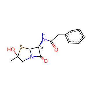 CC1(O)CN2C(=O)[C@H](NC(=O)Cc3ccccc3)C2S1